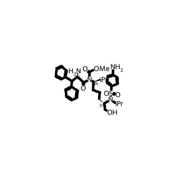 COC(=O)N(C(=O)[C@@H](N)C(c1ccccc1)c1ccccc1)[C@H](CCC[C@@H](CO)N(C(C)C)S(=O)(=O)c1ccc(N)cc1)C(C)C